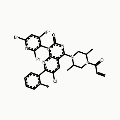 C=CC(=O)N1CC(C)N(c2nc(=O)n(-c3c(C(C)C)cc(Br)nc3C(C)C)c3nc(-c4ccccc4F)c(Cl)cc23)CC1C